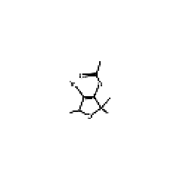 CC(=O)OC1=C(Br)C(C)OC1(C)C